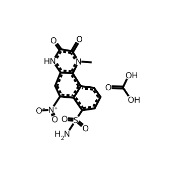 Cn1c(=O)c(=O)[nH]c2cc([N+](=O)[O-])c3c(S(N)(=O)=O)cccc3c21.O=C(O)O